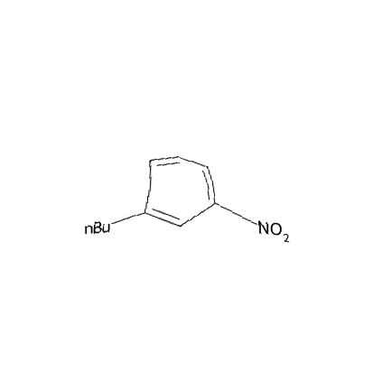 CCCCc1cccc([N+](=O)[O-])c1